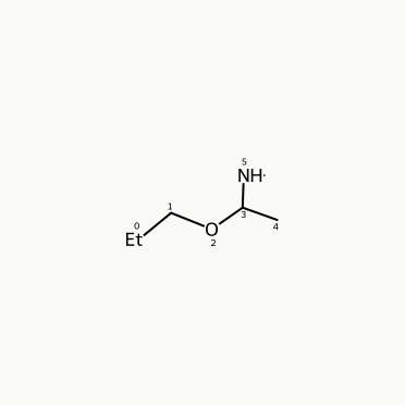 CCCOC(C)[NH]